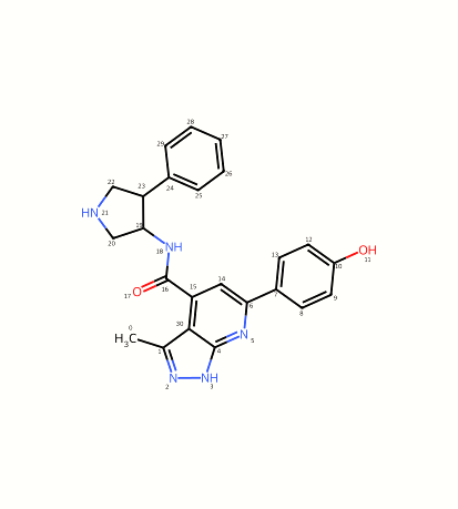 Cc1n[nH]c2nc(-c3ccc(O)cc3)cc(C(=O)NC3CNCC3c3ccccc3)c12